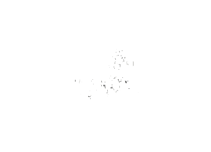 CN(Cc1c[nH]c2nc(N)nc(O)c12)c1ccc(C(=O)N[C@@H](CCC(=O)O)C(=O)O)cc1